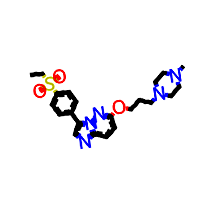 CCS(=O)(=O)c1ccc(-c2cnc3ccc(OCCCN4CCN(C)CC4)nn23)cc1